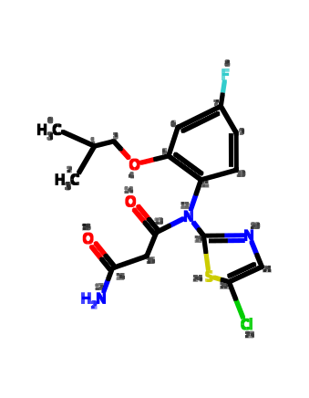 CC(C)COc1cc(F)ccc1N(C(=O)CC(N)=O)c1ncc(Cl)s1